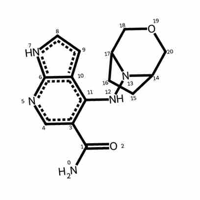 NC(=O)c1cnc2[nH]ccc2c1NN1C2CCC1COC2